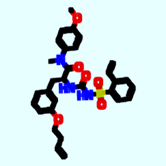 C=CCCOc1cccc(C[C@H](NC(=O)NS(=O)(=O)c2ccccc2C=C)C(=O)N(C)c2ccc(OC)cc2)c1